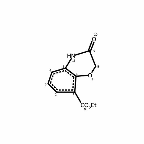 CCOC(=O)c1cccc2c1OCC(=O)N2